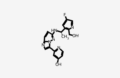 C[C@H](Nc1ccc2ncc(-c3cc(O)ccn3)n2n1)c1cc(F)cnc1CO